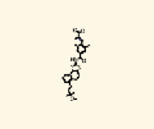 COC(C)(C)CCc1cccc2c1CCc1sc(NC(=O)c3cc(F)c(/C=C(\C)C(=O)O)c(F)c3)nc1-2